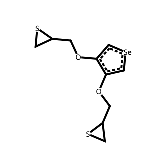 c1[se]cc(OCC2CS2)c1OCC1CS1